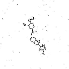 CCOc1ccc(NCc2ccc3cc(-c4nn[nH]n4)oc3c2)cc1Br